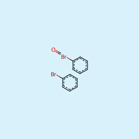 Brc1ccccc1.Brc1ccccc1.C=O